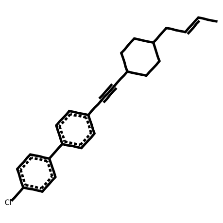 C/C=C/CC1CCC(C#Cc2ccc(-c3ccc(Cl)cc3)cc2)CC1